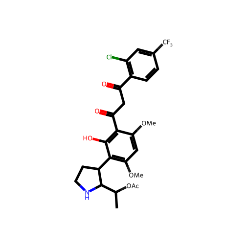 COc1cc(OC)c(C2CCNC2C(C)OC(C)=O)c(O)c1C(=O)CC(=O)c1ccc(C(F)(F)F)cc1Cl